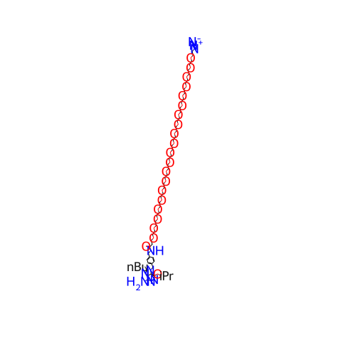 CCCCc1nc2c(N)nnc(OC(C)C)c2n1Cc1ccc(CNC(=O)CCOCCOCCOCCOCCOCCOCCOCCOCCOCCOCCOCCOCCOCCOCCOCCOCCOCCOCCOCCOCCN=[N+]=[N-])cc1